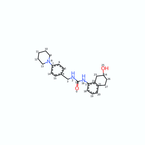 O=C(NCc1ccc(N2CCCCC2)cc1)Nc1cccc2c1CC(O)CC2